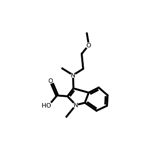 COCCN(C)c1c(C(=O)O)n(C)c2ccccc12